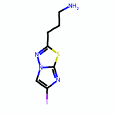 NCCCc1nn2cc(I)nc2s1